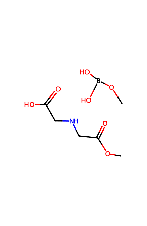 COB(O)O.COC(=O)CNCC(=O)O